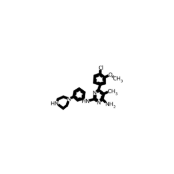 COc1cc(-c2nc(Nc3cccc(N4CCNCC4)c3)nc(N)c2C)ccc1Cl